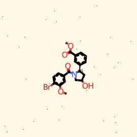 COC(=O)c1cccc([C@H]2CC(O)CN2C(=O)c2ccc(Br)c(OC)c2)c1